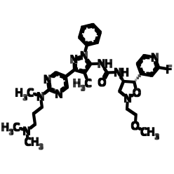 COCCN1C[C@@H](NC(=O)Nc2c(C)c(-c3cnc(N(C)CCCN(C)C)nc3)nn2-c2ccccc2)[C@H](c2ccnc(F)c2)O1